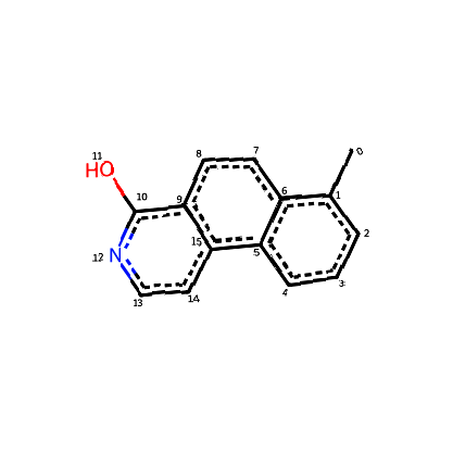 Cc1cccc2c1ccc1c(O)nccc12